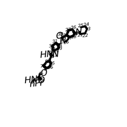 CCCNC(=O)COc1ccc(-c2nc3cc(N4Cc5cc(N6CCCCC6)ccc5C4=O)ccc3[nH]2)cc1